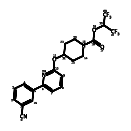 N#Cc1cccc(-c2cccc(OC3CCN(C(=O)OC(C(F)(F)F)C(F)(F)F)CC3)n2)c1